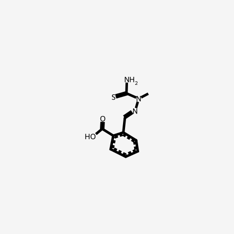 CN(N=Cc1ccccc1C(=O)O)C(N)=S